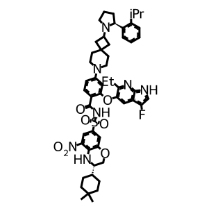 CCc1nc2[nH]cc(F)c2cc1Oc1cc(N2CCC3(CC2)CC(N2CCC[C@H]2c2ccccc2C(C)C)C3)ccc1C(=O)NS(=O)(=O)c1cc2c(c([N+](=O)[O-])c1)N[C@@H](C1CCC(C)(C)CC1)CO2